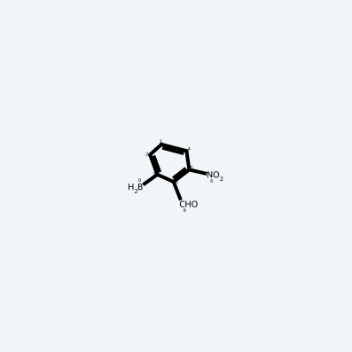 Bc1cccc([N+](=O)[O-])c1C=O